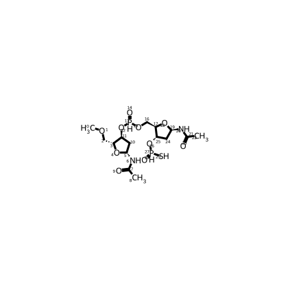 COC[C@H]1O[C@@H](NC(C)=O)C[C@@H]1O[PH](=O)OC[C@H]1O[C@@H](NC(C)=O)C[C@@H]1O[PH](=O)S